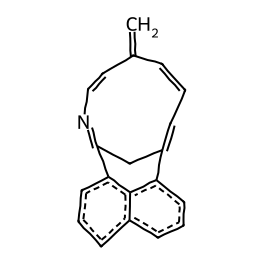 C=C1/C=C\C=C2/C/C(=N\C=C/1)c1cccc3cccc2c13